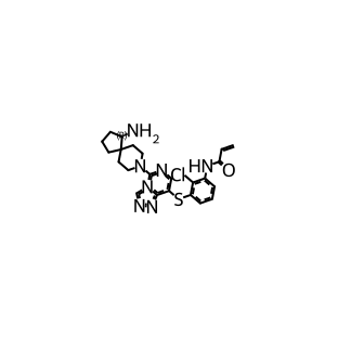 C=CC(=O)Nc1cccc(Sc2cnc(N3CCC4(CCC[C@H]4N)CC3)n3cnnc23)c1Cl